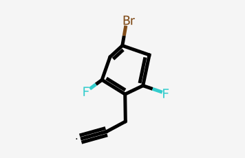 [C]#CCc1c(F)cc(Br)cc1F